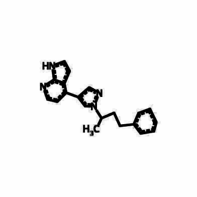 CC(CCc1ccccc1)n1cc(-c2ccnc3[nH]ccc23)cn1